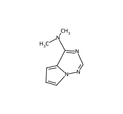 CN(C)c1ncnn2cccc12